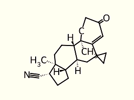 C[C@]12CC[C@H]3[C@@H](CC4(CC4)C4=CC(=O)CC[C@@]43C)[C@@H]1CC[C@@H]2C#N